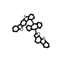 c1ccc2c(c1)oc1cc3c(cc12)sc1cccc(-c2c4ccccc4c(-c4cc5ccc6c7ccccc7sc6c5o4)c4ccccc24)c13